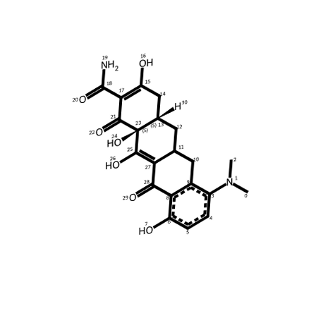 CN(C)c1ccc(O)c2c1CC1C[C@H]3CC(O)=C(C(N)=O)C(=O)[C@@]3(O)C(O)=C1C2=O